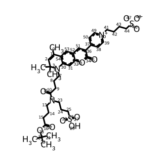 CC1=CC(C)(C)N(CCCC(=O)N(CCCC(=O)OC(C)(C)C)CCCS(=O)(=O)O)c2cc3oc(=O)c(-c4cc[n+](CCCCS(=O)(=O)[O-])cc4)cc3cc21